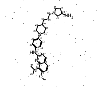 COc1ccc2cnc(Nc3ccc(N4CCC(CCCN5CCC(N)C5)CC4)cc3)nc2c1C(C)C